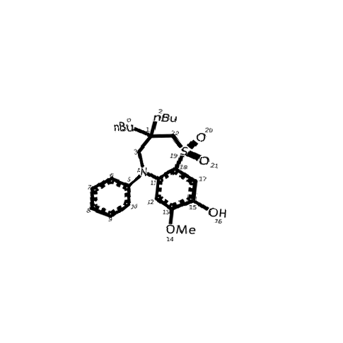 CCCCC1(CCCC)CN(c2ccccc2)c2cc(OC)c(O)cc2S(=O)(=O)C1